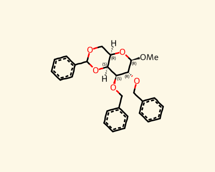 CO[C@@H]1O[C@@H]2COC(c3ccccc3)O[C@@H]2[C@H](OCc2ccccc2)[C@H]1OCc1ccccc1